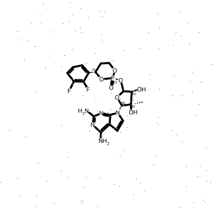 C[C@@]1(O)[C@H](O)C(O[P@@]2(=O)OCC[C@@H](c3cccc(F)c3F)O2)O[C@H]1n1ccc2c(N)nc(N)nc21